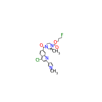 C[C@@H]1CN(C(=O)c2ccc3c(Cl)cc(-c4ccn(C)c4)nc3c2)CCN1C(=O)OCCCF